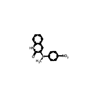 CN(c1ccc([N+](=O)[O-])cc1)c1cc2ccccc2[nH]c1=O